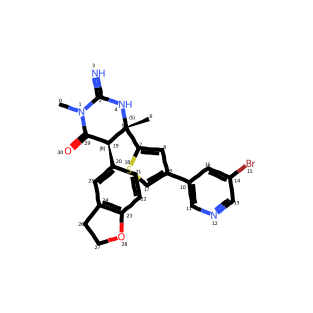 CN1C(=N)N[C@](C)(c2cc(-c3cncc(Br)c3)cs2)[C@@H](c2ccc3c(c2)CCO3)C1=O